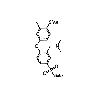 CNS(=O)(=O)c1ccc(Oc2ccc(SC)c(C)c2)c(CN(C)C)c1